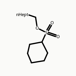 CCCCCCCCOS(=O)(=O)C1CC[CH]CC1